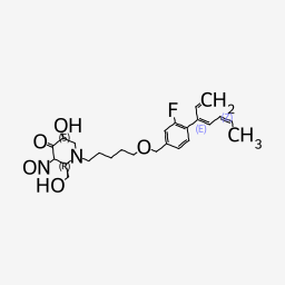 C=C/C(=C\C=C/C)c1ccc(COCCCCCN2C[C@H](O)C(=O)C(N=O)[C@@H]2CO)cc1F